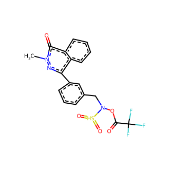 Cn1nc(-c2cccc(CN(OC(=O)C(F)(F)F)[SH](=O)=O)c2)c2ccccc2c1=O